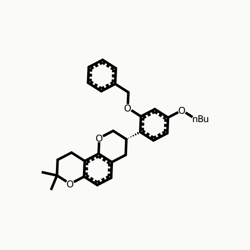 CCCCOc1ccc([C@H]2COc3c(ccc4c3CCC(C)(C)O4)C2)c(OCc2ccccc2)c1